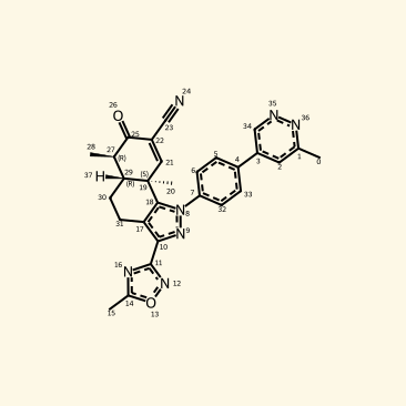 Cc1cc(-c2ccc(-n3nc(-c4noc(C)n4)c4c3[C@]3(C)C=C(C#N)C(=O)[C@H](C)[C@H]3CC4)cc2)cnn1